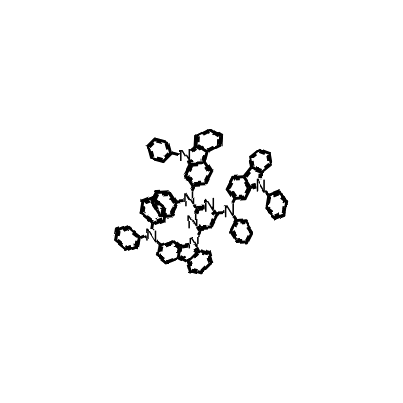 c1ccc(N(c2ccccc2)c2ccc3c4ccccc4n(-c4cc(N(c5ccccc5)c5ccc6c7ccccc7n(-c7ccccc7)c6c5)nc(N(c5ccccc5)c5ccc6c7ccccc7n(-c7ccccc7)c6c5)n4)c3c2)cc1